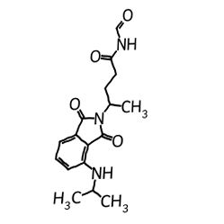 CC(C)Nc1cccc2c1C(=O)N(C(C)CCC(=O)NC=O)C2=O